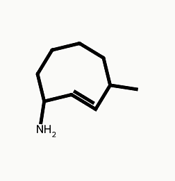 CC1/C=C/C(N)CCCC1